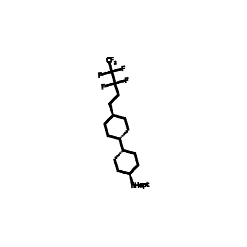 CCCCCCC[C@H]1CC[C@H]([C@H]2CC[C@H](CCC(F)(F)C(F)(F)C(F)(F)F)CC2)CC1